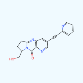 O=c1c2ncc(C#Cc3ccccn3)cc2nc2n1C(CO)CC2